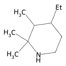 CCC1CCNC(C)(C)C1C